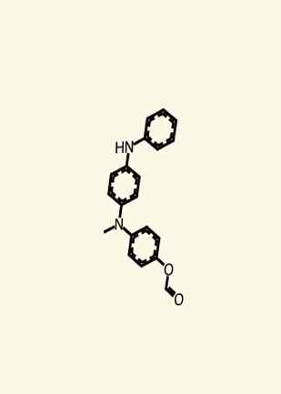 CN(c1ccc(Nc2ccccc2)cc1)c1ccc(OC=O)cc1